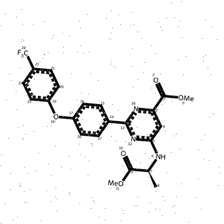 COC(=O)c1cc(N[C@@H](C)C(=O)OC)nc(-c2ccc(Oc3ccc(C(F)(F)F)cc3)cc2)n1